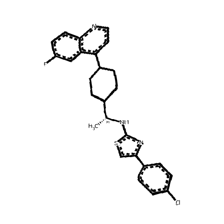 C[C@@H](Nc1nc(-c2ccc(Cl)cc2)cs1)C1CCC(c2ccnc3ccc(F)cc23)CC1